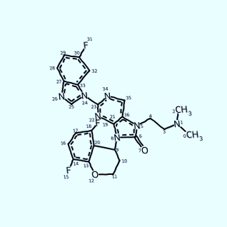 CN(C)CCn1c(=O)n(C2CCOc3c(F)ccc(F)c32)c2nc(-n3cnc4ccc(F)cc43)ncc21